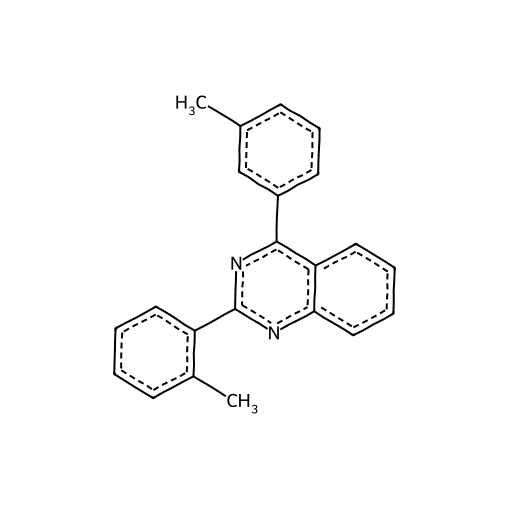 Cc1cccc(-c2nc(-c3ccccc3C)nc3ccccc23)c1